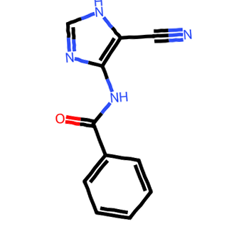 N#Cc1[nH]cnc1NC(=O)c1ccccc1